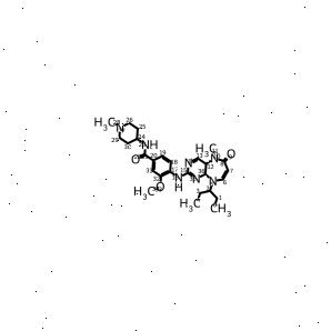 CCC(CC)N1C=CC(=O)N(C)C2C=NC(Nc3ccc(C(=O)NC4CCN(C)CC4)cc3OC)=NC21